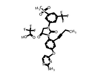 CCC#Cc1cc(Oc2ccnc(N)n2)ccc1N1C(=O)CN(c2cc(C(F)(F)F)cc(S(C)(=O)=O)c2)C1=O.O=C(O)C(F)(F)F